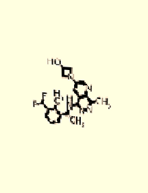 Cc1c(C(F)F)cccc1[C@@H](C)Nc1nnc(C)c2ncc(N3CC(O)C3)cc12